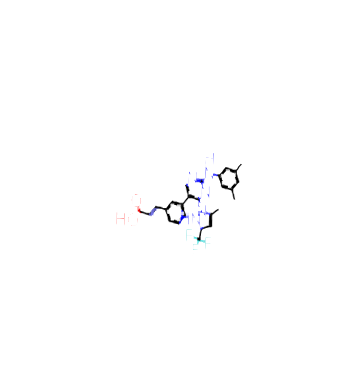 CC1=CC(C(F)(F)F)NN1c1nc(Nc2cc(C)cc(C)c2)ncc1-c1cccc(/C=C/C(=O)O)c1